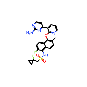 Cc1ccc2c(NS(=O)(=O)CC3(F)CC3)c(F)ccc2c1Oc1ncccc1-c1ccnc(N)n1